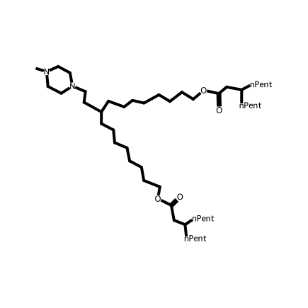 CCCCCC(CCCCC)CC(=O)OCCCCCCCCC(CCCCCCCCOC(=O)CC(CCCCC)CCCCC)CCN1CCN(C)CC1